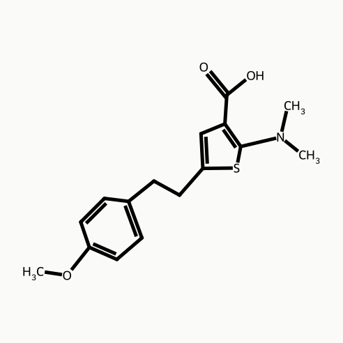 COc1ccc(CCc2cc(C(=O)O)c(N(C)C)s2)cc1